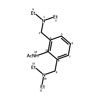 CCN(CC)Cc1cccc(CN(CC)CC)c1NC(C)=O